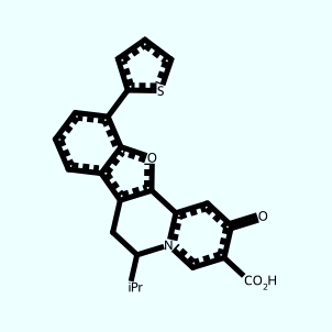 CC(C)C1Cc2c(oc3c(-c4cccs4)cccc23)-c2cc(=O)c(C(=O)O)cn21